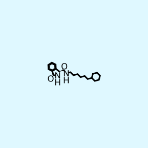 O=C1N[C@H](C(=O)NCCCCCCC2CCCCC2)c2ccccc21